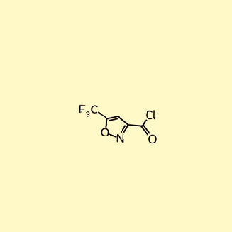 O=C(Cl)c1cc(C(F)(F)F)on1